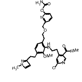 CNC(=O)c1cnc(Cl)cc1CCNc1c(CCOCc2cccc(OC(N)=O)n2)ccc(CCc2ccn(C)n2)c1OC